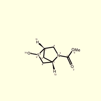 COC(=O)N1C[C@@H]2C[C@H]1C[S+]2[O-]